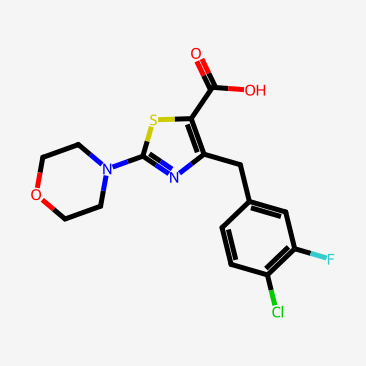 O=C(O)c1sc(N2CCOCC2)nc1Cc1ccc(Cl)c(F)c1